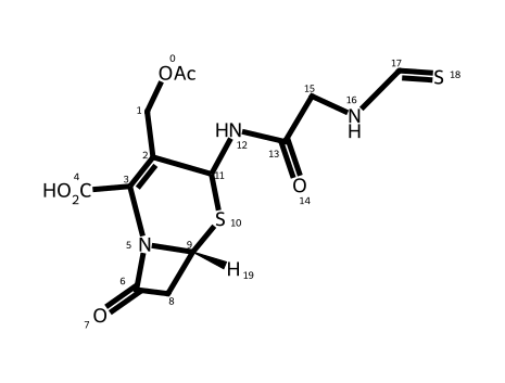 CC(=O)OCC1=C(C(=O)O)N2C(=O)C[C@H]2SC1NC(=O)CNC=S